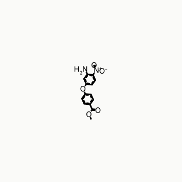 COC(=O)c1ccc(Oc2ccc([N+](=O)[O-])c(N)c2)cc1